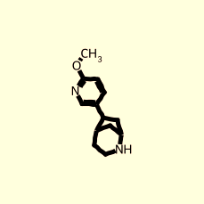 COc1ccc(C2CC3CC2CCN3)cn1